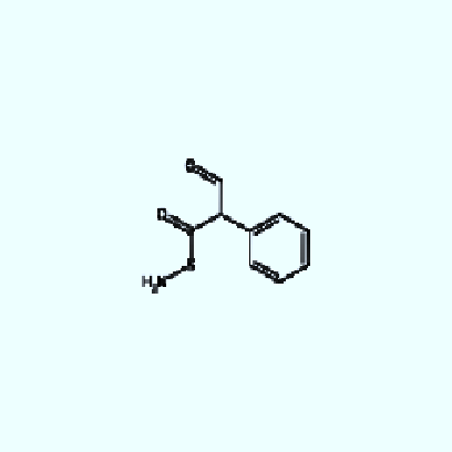 NSC(=O)C(C=O)c1ccccc1